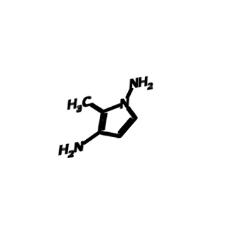 Cc1c(N)ccn1N